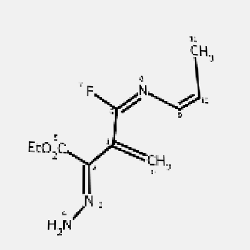 C=C(/C(=N/N)C(=O)OCC)/C(F)=N\C=C/C